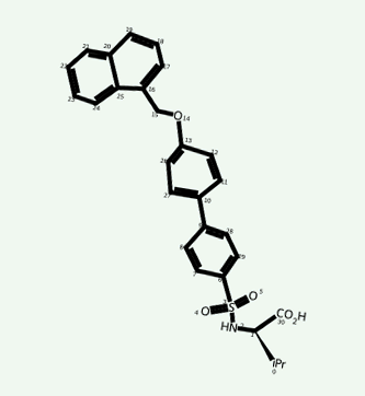 CC(C)[C@@H](NS(=O)(=O)c1ccc(-c2ccc(OCc3cccc4ccccc34)cc2)cc1)C(=O)O